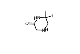 CC1(I)CNCC(=O)N1